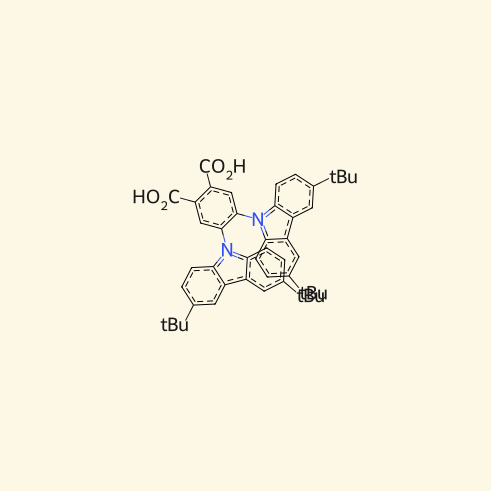 CC(C)(C)c1ccc2c(c1)c1cc(C(C)(C)C)ccc1n2-c1cc(C(=O)O)c(C(=O)O)cc1-n1c2ccc(C(C)(C)C)cc2c2cc(C(C)(C)C)ccc21